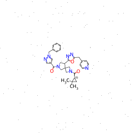 CC1(C)C[C@@H]1C(=O)N1CC2(CN(C(=O)c3cnn(Cc4ccccc4)c3)CC2c2nnc(Cc3ccncc3)o2)C1